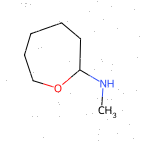 CNC1CCCCCO1